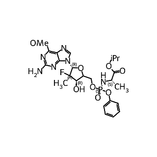 COc1nc(N)nc2c1ncn2[C@@H]1OC(CO[P@@](=O)(N[C@@H](C)C(=O)OC(C)C)Oc2ccccc2)[C@@H](O)[C@@]1(C)F